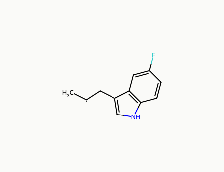 C[CH]Cc1c[nH]c2ccc(F)cc12